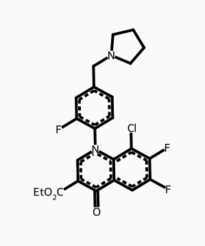 CCOC(=O)c1cn(-c2ccc(CN3CCCC3)cc2F)c2c(Cl)c(F)c(F)cc2c1=O